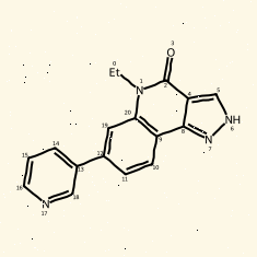 CCn1c(=O)c2c[nH]nc2c2ccc(-c3cccnc3)cc21